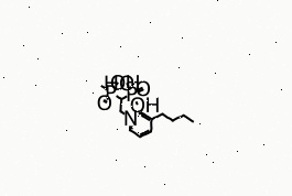 CCCCc1ccc[n+](CC(P(C)(=O)O)P(=O)(O)O)c1